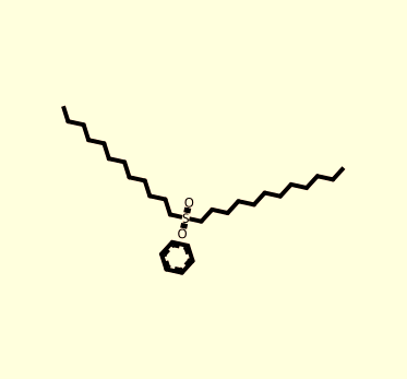 CCCCCCCCCCCCS(=O)(=O)CCCCCCCCCCCC.c1ccccc1